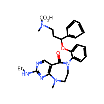 CCNc1ncc2c(n1)N(C)CCN(c1ccccc1OC(CCN(C)C(=O)O)c1ccccc1)C2=O